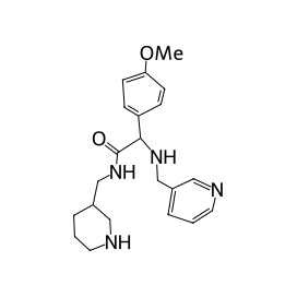 COc1ccc(C(NCc2cccnc2)C(=O)NCC2CCCNC2)cc1